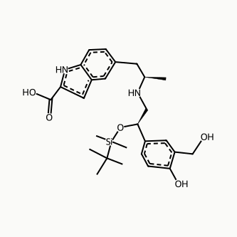 C[C@H](Cc1ccc2[nH]c(C(=O)O)cc2c1)NC[C@H](O[Si](C)(C)C(C)(C)C)c1ccc(O)c(CO)c1